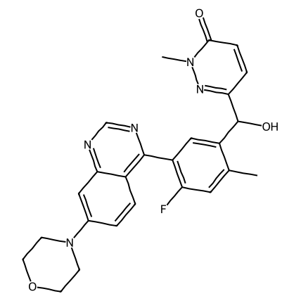 Cc1cc(F)c(-c2ncnc3cc(N4CCOCC4)ccc23)cc1C(O)c1ccc(=O)n(C)n1